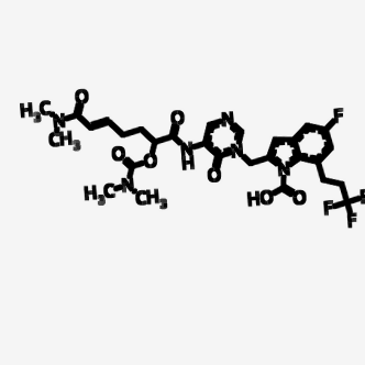 CN(C)C(=O)C=CCCC(OC(=O)N(C)C)C(=O)Nc1cncn(Cc2cc3cc(F)cc(CCC(F)(F)F)c3n2C(=O)O)c1=O